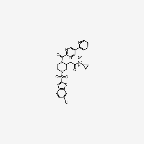 O=C(c1ncc(-c2ccccn2)cn1)N1CCN(S(=O)(=O)c2cc3ccc(Cl)cc3s2)CC1CC(=O)[NH+]([O-])C1CC1